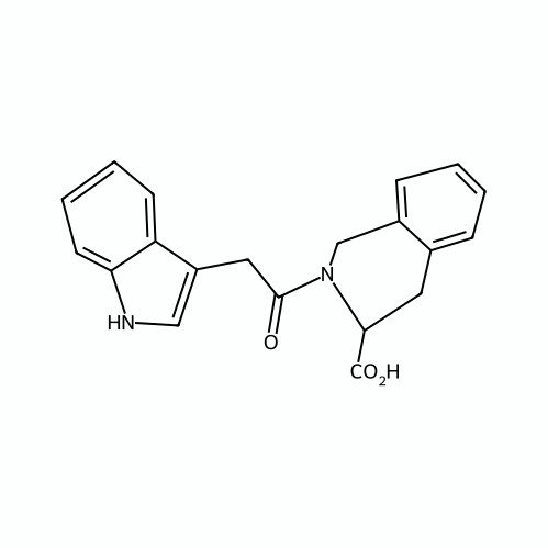 O=C(O)C1Cc2ccccc2CN1C(=O)Cc1c[nH]c2ccccc12